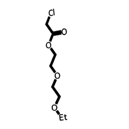 [CH2]COCCOCCOC(=O)CCl